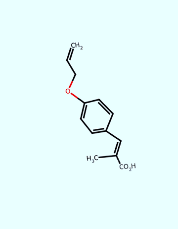 C=CCOc1ccc(/C=C(\C)C(=O)O)cc1